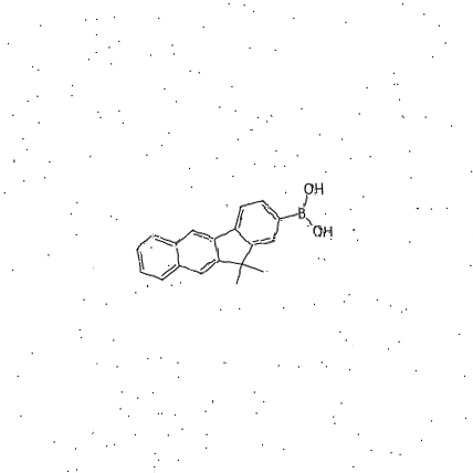 CC1(C)c2cc(B(O)O)ccc2-c2cc3ccccc3cc21